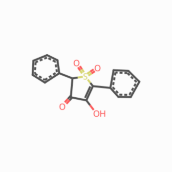 O=C1C(O)=C(c2ccccc2)S(=O)(=O)C1c1ccccc1